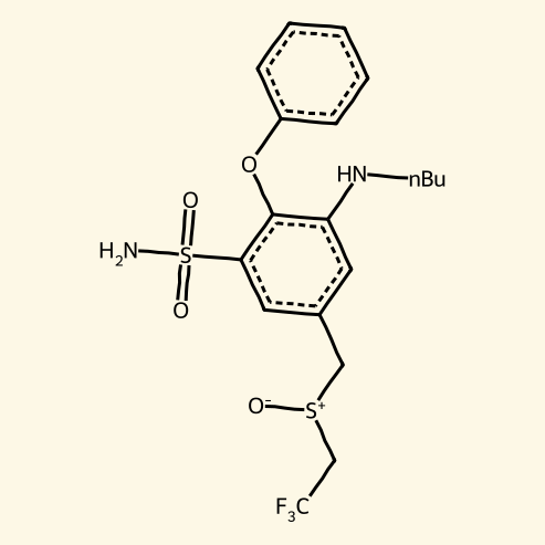 CCCCNc1cc(C[S+]([O-])CC(F)(F)F)cc(S(N)(=O)=O)c1Oc1ccccc1